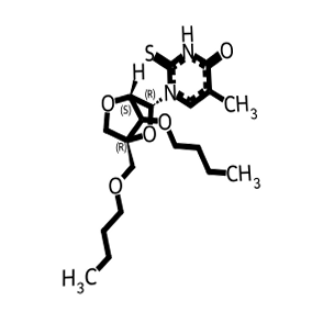 CCCCOC[C@@]12CO[C@@H](C1OCCCC)[C@H](n1cc(C)c(=O)[nH]c1=S)O2